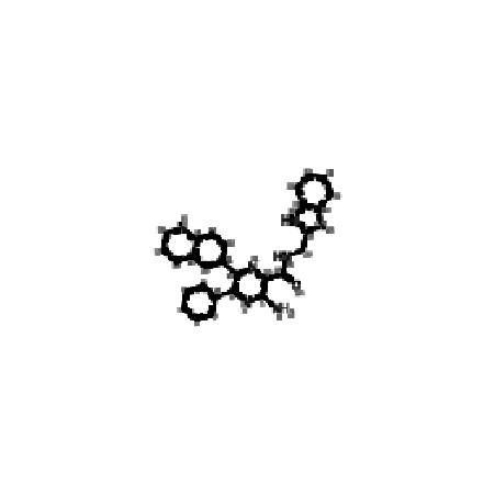 Nc1nc(-c2ccccc2)c(-c2ccc3ncccc3c2)nc1C(=O)NCc1nc2ccccc2[nH]1